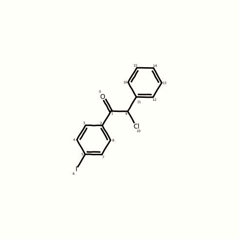 O=C(c1ccc(I)cc1)C(Cl)c1ccccc1